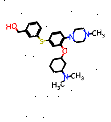 CN1CCN(c2ccc(Sc3cccc(CO)c3)cc2OC2CCCC(N(C)C)C2)CC1